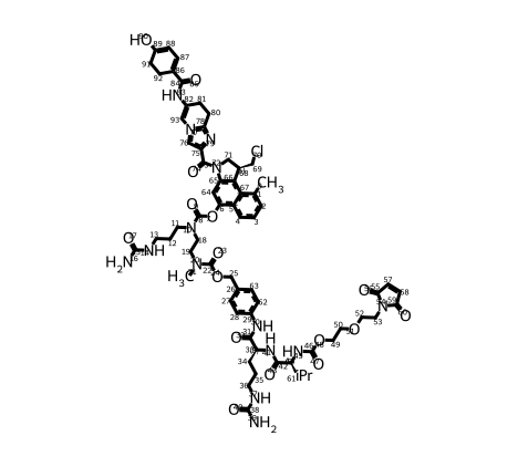 Cc1cccc2c(OC(=O)N(CCCNC(N)=O)CCN(C)C(=O)OCc3ccc(NC(=O)[C@H](CCCNC(N)=O)NC(=O)[C@@H](NC(=O)OCCOCCN4C(=O)C=CC4=O)C(C)C)cc3)cc3c(c12)[C@H](CCl)CN3C(=O)c1cn2c(n1)CCC(NC(=O)C1=CC=C(O)CC1)=C2